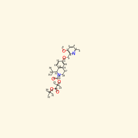 COc1ccc(C)nc1COc1ccc2c(c1)CCN(C(=O)OC(C)(C)C(=O)OC(C)(C)C)C2C(C)C